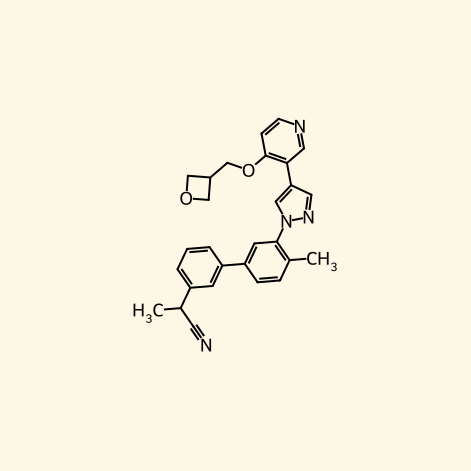 Cc1ccc(-c2cccc(C(C)C#N)c2)cc1-n1cc(-c2cnccc2OCC2COC2)cn1